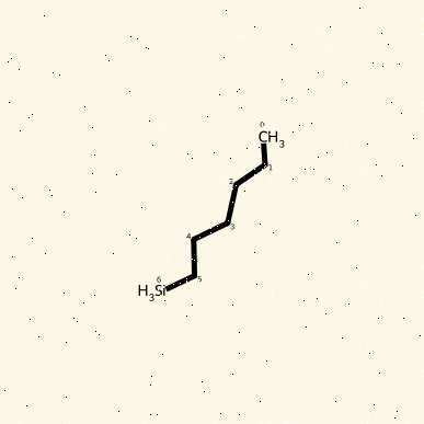 CCCCCC[SiH3]